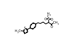 CC(=O)C(CCCCc1ccc(-c2ccc(C)s2)cc1)S(C)(=O)=O